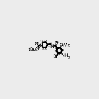 COc1cc(N)c(Br)cc1C(=O)NCC1CCN(C(=O)OC(C)(C)C)CC1